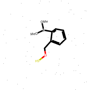 COB(OC)c1ccccc1COS